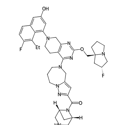 CCc1c(F)ccc2cc(O)cc(N3CCc4c(nc(OC[C@@]56CCCN5C[C@H](F)C6)nc4N4CCCn5nc(C(=O)N6[C@@H]7CNC[C@H]6C7)cc5C4)C3)c12